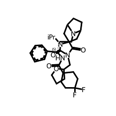 CC(C)N1C(=O)N(CC2CCCO2)C(=O)C12CC1CCC(C2)N1CC[C@H](NC(=O)C1CCC(F)(F)CC1)c1ccccc1